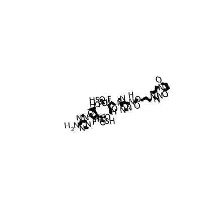 Nc1ncnc2c1ncn2[C@@H]1OC23C[C@H]2O[P@@](=O)(S)O[C@H]2[C@@H](F)[C@H](n4cnc5c(NC(=O)OCCCn6cc(CN7C(=O)C=CC7=O)nn6)ncnc54)O[C@@H]2CO[P@@](=O)(S)O[C@H]3[C@H]1F